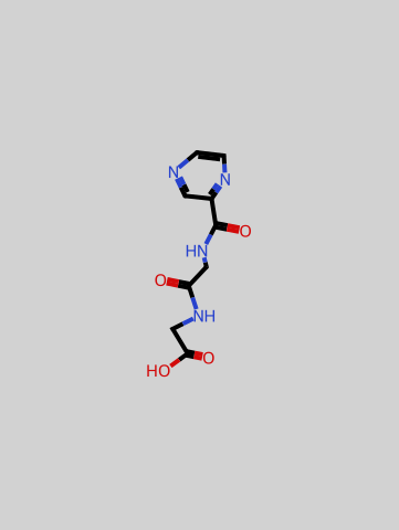 O=C(O)CNC(=O)CNC(=O)c1cnccn1